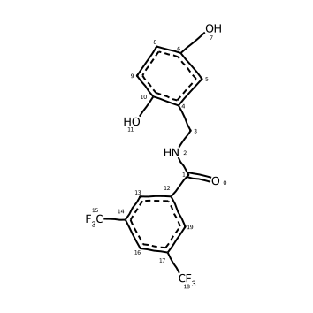 O=C(NCc1cc(O)ccc1O)c1cc(C(F)(F)F)cc(C(F)(F)F)c1